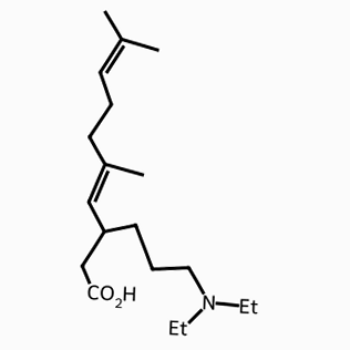 CCN(CC)CCCC(/C=C(\C)CCC=C(C)C)CC(=O)O